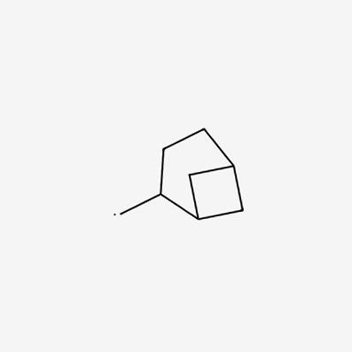 [CH2]C1CCC2CC1C2